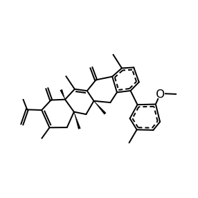 C=C(C)C1=C(C)C[C@@]2(C)C[C@@]3(C)Cc4c(-c5cc(C)ccc5OC)ccc(C)c4C(=C)C3=C(C)[C@@]2(C)C1=C